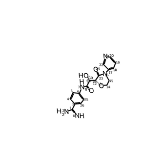 N=C(N)c1ccc(NC(=O)[C@H](O)[C@H]2OCCN(c3cccnc3)C2=O)cc1